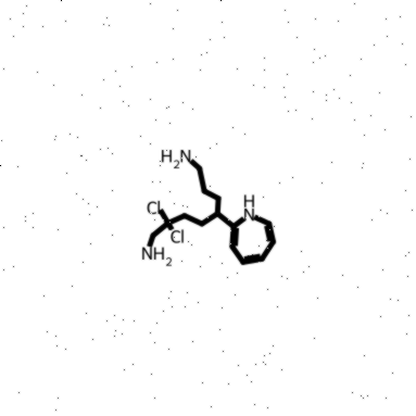 NCCCC(CCC(Cl)(Cl)CN)C1=CC=CC=CN1